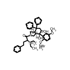 Br.CCN(CC)C(CCc1ccccc1)C(=O)N1C[C@@H]2[C@H](C1)[C@@](O)(c1cc(OC)ccc1OC)[C@H](O)CC2(c1ccccc1)c1ccccc1